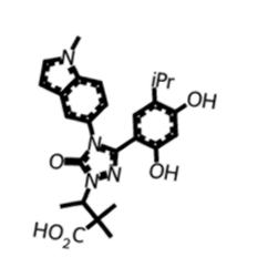 CC(C)c1cc(-c2nn(C(C)C(C)(C)C(=O)O)c(=O)n2-c2ccc3c(ccn3C)c2)c(O)cc1O